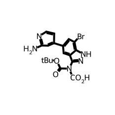 CC(C)(C)OC(=O)N(C(=O)O)c1n[nH]c2c(Br)cc(-c3ccnc(N)c3)cc12